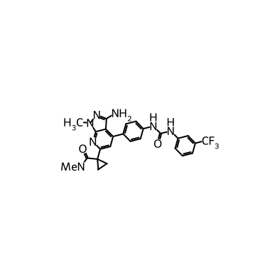 CNC(=O)C1(c2cc(-c3ccc(NC(=O)Nc4cccc(C(F)(F)F)c4)cc3)c3c(N)nn(C)c3n2)CC1